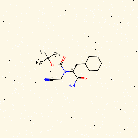 CC(C)(C)OC(=O)N(CC#N)[C@@H](CC1CCCCC1)C(N)=O